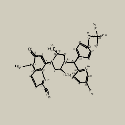 CC1CN(c2cc(=O)n(C)c3ccc(C#N)nc23)[C@@H](C)CN1C(c1ccc(OC(F)(F)F)cc1)c1ccc(F)cn1